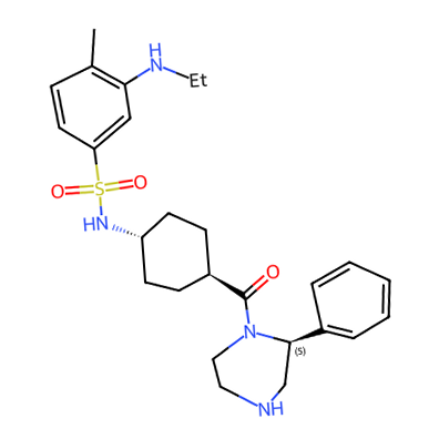 CCNc1cc(S(=O)(=O)N[C@H]2CC[C@H](C(=O)N3CCNC[C@@H]3c3ccccc3)CC2)ccc1C